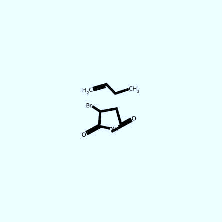 C=CCC.O=C1CC(Br)C(=O)N1